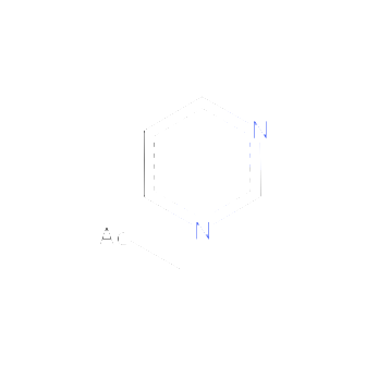 CC(C)=O.c1cncnc1